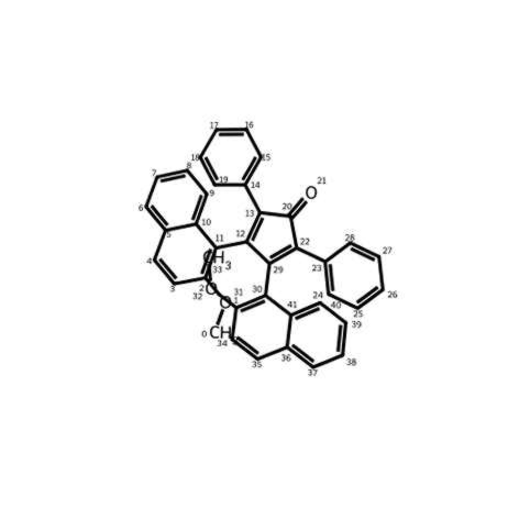 COc1ccc2ccccc2c1C1=C(c2ccccc2)C(=O)C(c2ccccc2)=C1c1c(OC)ccc2ccccc12